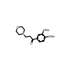 COc1ccc(C(=O)CCN2CCOCC2)cc1OC